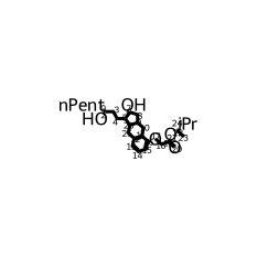 CCCCCC(O)CCC1C(O)CC2Cc3c(cccc3OCC(=O)OC(C)C(C)C)CC21